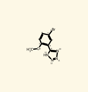 COc1ccc(Br)cc1-c1nnn[nH]1